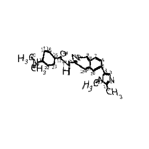 Cc1ncc(-c2ccc3cnc(NC(=O)C4CCC(N(C)C)CC4)cc3c2)n1C